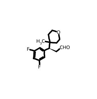 CC1([C@@H](CC=O)c2cc(F)cc(F)c2)CCOCC1